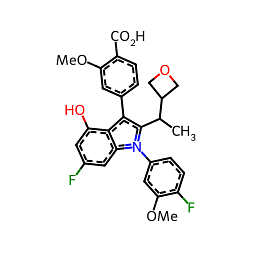 COc1cc(-n2c(C(C)C3COC3)c(-c3ccc(C(=O)O)c(OC)c3)c3c(O)cc(F)cc32)ccc1F